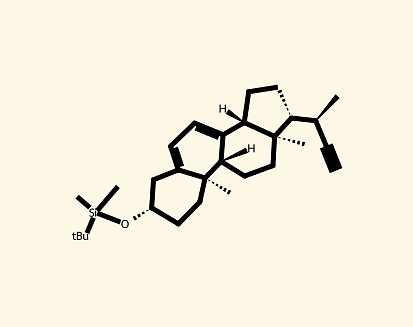 C#C[C@H](C)[C@H]1CC[C@H]2C3=CC=C4C[C@@H](O[Si](C)(C)C(C)(C)C)CC[C@]4(C)[C@H]3CC[C@]12C